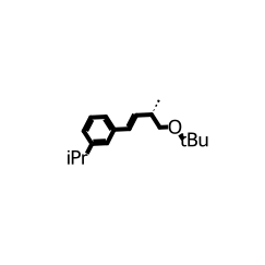 CC(C)c1cccc(/C=C/[C@H](C)COC(C)(C)C)c1